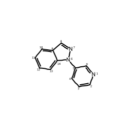 [c]1ncccc1-n1ncc2ccccc21